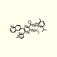 Cc1ccc(C(C)C)nc1CNC(=O)c1nc(-c2ccc3ncccc3c2)c(-c2ccn(C)n2)nc1N